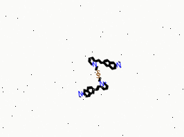 CN(C)c1ccc2cc(/C=C/C3=CC=CCN3CCSSCC[n+]3ccccc3/C=C/c3ccc4cc(N(C)C)ccc4c3)ccc2c1